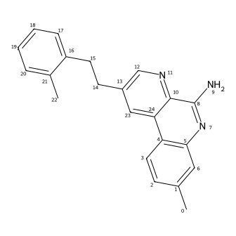 Cc1ccc2c(c1)nc(N)c1ncc(CCc3cc[c]cc3C)cc12